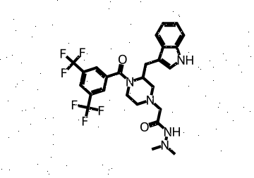 CN(C)NC(=O)CN1CCN(C(=O)c2cc(C(F)(F)F)cc(C(F)(F)F)c2)C(Cc2c[nH]c3ccccc23)C1